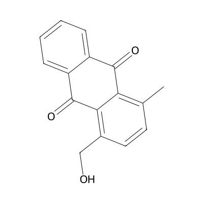 Cc1ccc(CO)c2c1C(=O)c1ccccc1C2=O